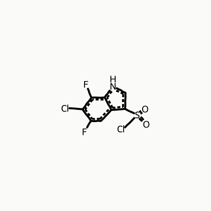 O=S(=O)(Cl)c1c[nH]c2c(F)c(Cl)c(F)cc12